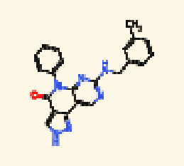 Cc1cccc(CNc2ncc3c4n[nH]cc4c(=O)n(-c4ccccc4)c3n2)c1